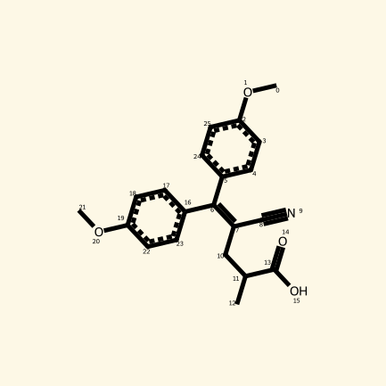 COc1ccc(C(=C(C#N)CC(C)C(=O)O)c2ccc(OC)cc2)cc1